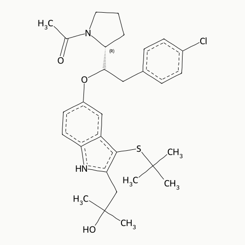 CC(=O)N1CCC[C@@H]1C(Cc1ccc(Cl)cc1)Oc1ccc2[nH]c(CC(C)(C)O)c(SC(C)(C)C)c2c1